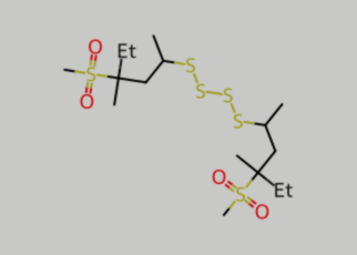 CCC(C)(CC(C)SSSSC(C)CC(C)(CC)S(C)(=O)=O)S(C)(=O)=O